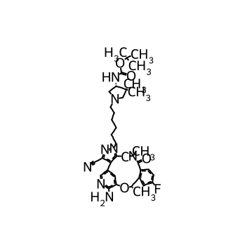 C[C@H]1Oc2cc(cnc2N)-c2c(C#N)nn(CCCCCCN3C[C@H](NC(=O)OC(C)(C)C)C(C)(C)C3)c2CN(C)C(=O)c2ccc(F)cc21